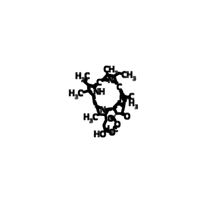 C=Cc1c(C)c2cc3nc(c4c5[nH]c(cc6nc(cc1[nH]2)C(C)=C6CC)c(C)c5C(=O)[C@@H]4C(=O)OC)C(CCC(=O)O)[C@@H]3C